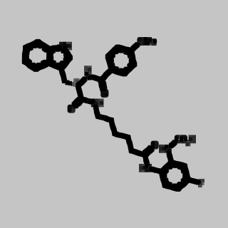 COc1ccc(C(=O)N[C@@H](Cc2c[nH]c3ccccc23)C(=O)NCCCCCC(=O)Nc2ccc(F)cc2NC(=O)O)cc1